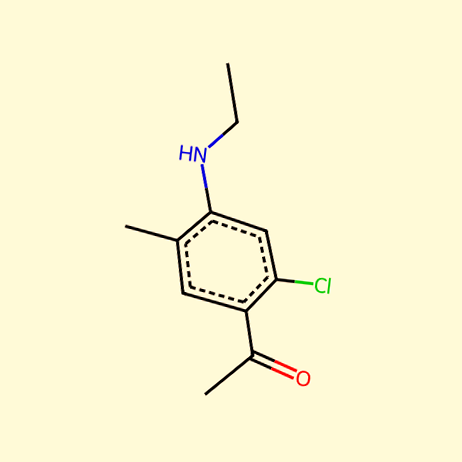 CCNc1cc(Cl)c(C(C)=O)cc1C